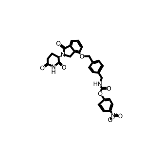 O=C1CC[C@H](N2Cc3c(OCc4ccc(CNC(=O)Oc5ccc([N+](=O)[O-])cc5)cc4)cccc3C2=O)C(=O)N1